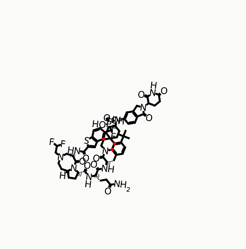 CC(C)(C)c1ccc(C[C@H](NC(=O)[C@H](CCC(N)=O)NC(=O)[C@@H]2CC[C@@H]3CCN(CC(F)F)C[C@H](NC(=O)c4cc5cc(C(F)(F)P(=O)(O)O)ccc5s4)C(=O)N32)C(=O)N2CCC3(CCC(Nc4ccc5c(c4)CN(C4CCC(=O)NC4=O)C5=O)CC3)CC2)cc1